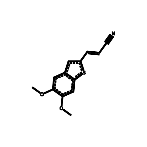 COc1cc2cc(/C=C/C#N)sc2cc1OC